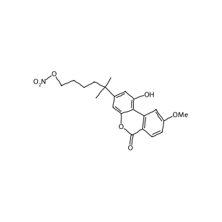 COc1ccc2c(=O)oc3cc(C(C)(C)CCCCO[N+](=O)[O-])cc(O)c3c2c1